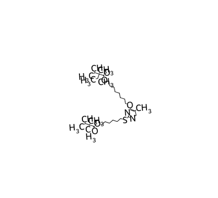 Cc1cnc(SCCCCCCOC(=O)C(C)(C)C(C)C)nc1OCCCCCCCCOC(=O)C(C)(C(C)C)C(C)C